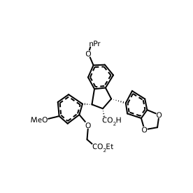 CCCOc1ccc2c(c1)[C@@H](c1ccc(OC)cc1OCC(=O)OCC)[C@@H](C(=O)O)[C@H]2c1ccc2c(c1)OCO2